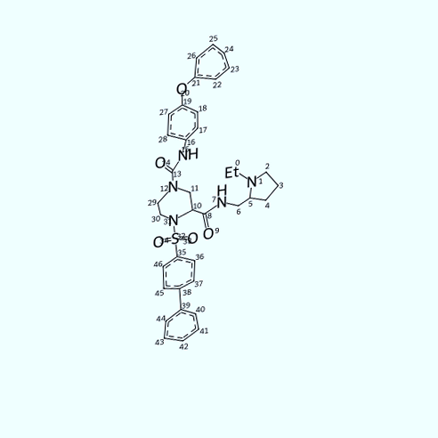 CCN1CCCC1CNC(=O)C1CN(C(=O)Nc2ccc(Oc3ccccc3)cc2)CCN1S(=O)(=O)c1ccc(-c2ccccc2)cc1